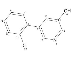 Oc1cncc(-c2ccc[c]c2Cl)c1